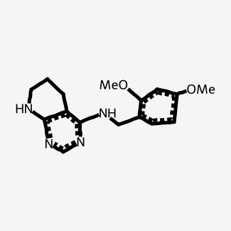 COc1ccc(CNc2ncnc3c2CCCN3)c(OC)c1